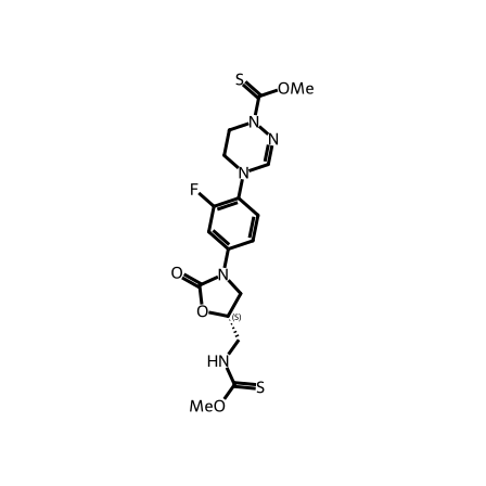 COC(=S)NC[C@H]1CN(c2ccc(N3C=NN(C(=S)OC)CC3)c(F)c2)C(=O)O1